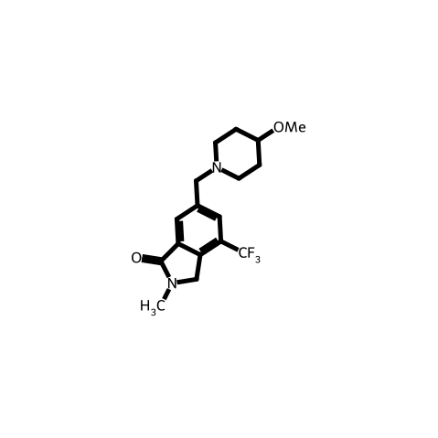 COC1CCN(Cc2cc3c(c(C(F)(F)F)c2)CN(C)C3=O)CC1